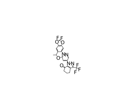 CC(Oc1cc(-n2nc(C(F)(F)F)c3c2C(=O)CCC3)cnn1)c1ccc2c(c1)OC(F)(F)O2